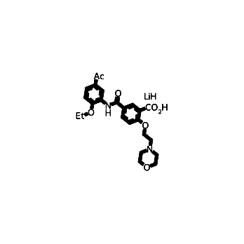 CCOc1ccc(C(C)=O)cc1NC(=O)c1ccc(OCCN2CCOCC2)c(C(=O)O)c1.[LiH]